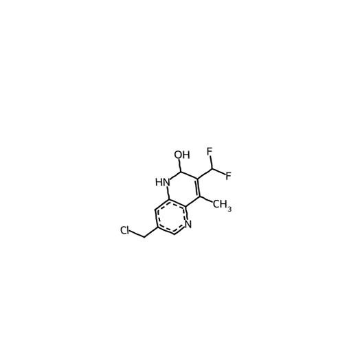 CC1=C(C(F)F)C(O)Nc2cc(CCl)cnc21